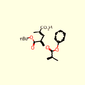 C=C(C)C(=O)Oc1ccccc1.C=C(C=C(C)C(=O)O)C(=O)OCCCC